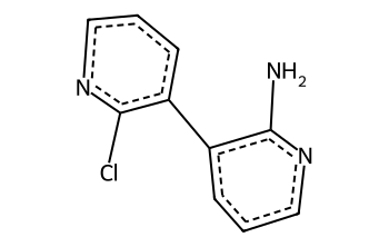 Nc1ncccc1-c1cccnc1Cl